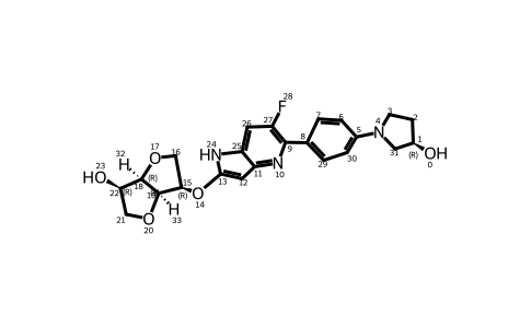 O[C@@H]1CCN(c2ccc(-c3nc4cc(O[C@@H]5CO[C@H]6[C@@H]5OC[C@H]6O)[nH]c4cc3F)cc2)C1